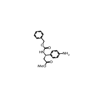 COC(=O)C[C@@H](NC(=O)OCc1ccccc1)c1ccc(N)cc1